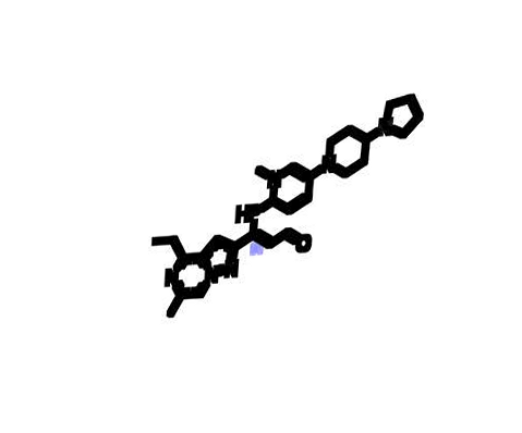 CCc1nc(C)cn2nc(/C(=C/C=O)PC3C=CC(N4CCC(N5CCCC5)CC4)=CN3C)cc12